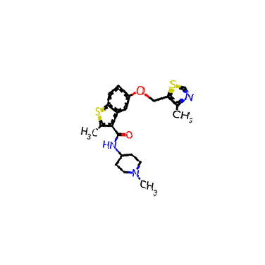 Cc1ncsc1COc1ccc2sc(C)c(C(=O)NC3CCN(C)CC3)c2c1